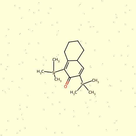 C[Si](C)(C)C1=CC2CCCCC2=C([Si](C)(C)C)C1=O